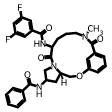 CN1CCCC(NC(=O)c2cc(F)cc(F)c2)C(=O)N2CC(NC(=O)c3ccccc3)C[C@H]2COc2cccc(c2)C1=O